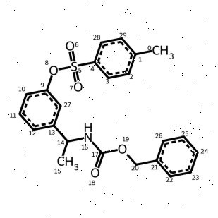 Cc1ccc(S(=O)(=O)Oc2cccc(C(C)NC(=O)OCc3ccccc3)c2)cc1